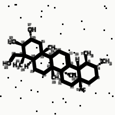 CC(=O)[C@]12CC[C@@H](C)[C@H](C)[C@H]1C1=CCC3[C@@]4(C)C[C@@H](O)[C@H](O)[C@@](C)(CO)[C@@H]4CC[C@@]3(C)[C@]1(C)CC2